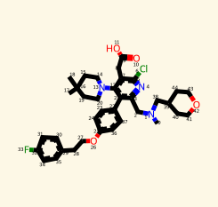 CN(Cc1nc(Cl)c(CC(=O)O)c(N2CCC(C)(C)CC2)c1-c1ccc(OCCc2ccc(F)cc2)cc1)CC1CCOCC1